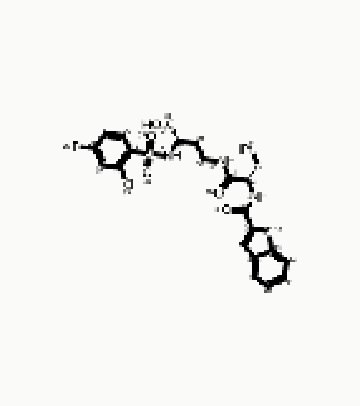 CC(C)C[C@H](NC(=O)c1cc2ccccc2s1)C(=O)NCC[C@@H](NS(=O)(=O)c1ccc(F)cc1Cl)C(=O)O